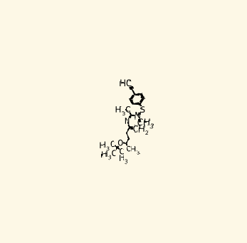 C#Cc1ccc(SN(C)/C(C)=N\C(=C)CCC(C)OC(C)(C)C)cc1